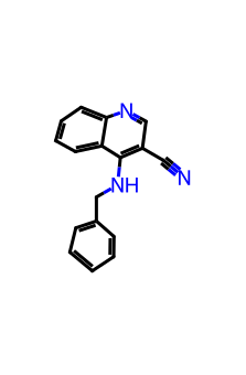 N#Cc1cnc2ccccc2c1NCc1ccccc1